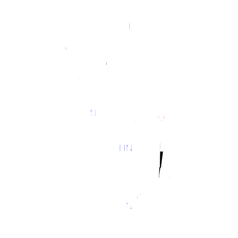 O=C(N[C@H]1CN2CCC1CC2)c1cc2c(I)csc2cn1